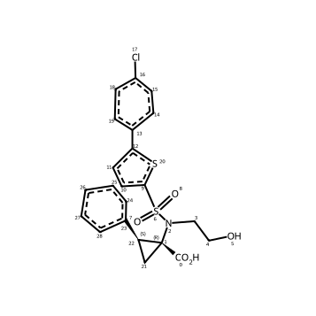 O=C(O)[C@@]1(N(CCO)S(=O)(=O)c2ccc(-c3ccc(Cl)cc3)s2)C[C@H]1c1ccccc1